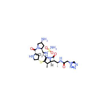 C[C@@H](NC(=O)Cn1cnnn1)[C@H]1C(=O)N2C(C(=O)O)=C(S[C@@H]3CN[C@H](C(=O)N4C[C@@H](N)C[C@H]4CNS(N)(=O)=O)C3)[C@H](C)[C@H]12